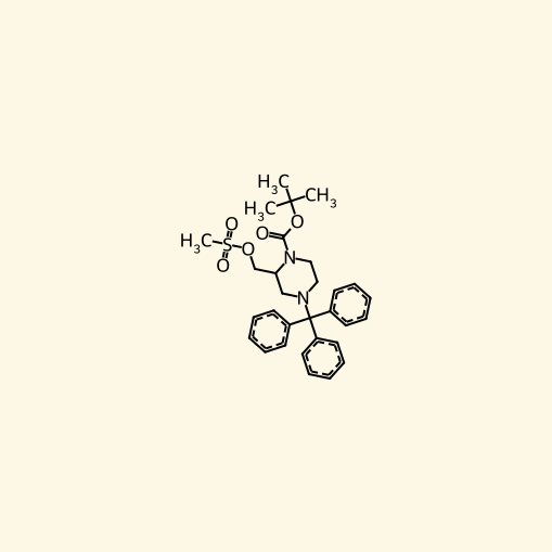 CC(C)(C)OC(=O)N1CCN(C(c2ccccc2)(c2ccccc2)c2ccccc2)CC1COS(C)(=O)=O